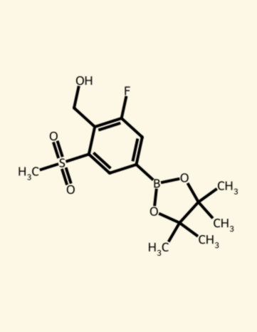 CC1(C)OB(c2cc(F)c(CO)c(S(C)(=O)=O)c2)OC1(C)C